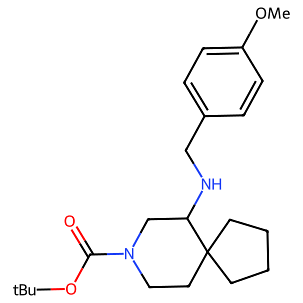 COc1ccc(CNC2CN(C(=O)OC(C)(C)C)CCC23CCCC3)cc1